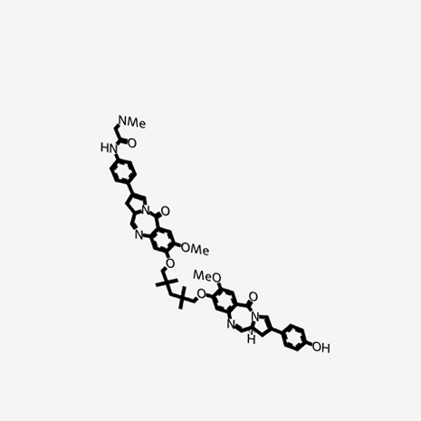 CNCC(=O)Nc1ccc(C2=CN3C(=O)c4cc(OC)c(OCC(C)(C)CC(C)(C)COc5cc6c(cc5OC)C(=O)N5C=C(c7ccc(O)cc7)C[C@H]5C=N6)cc4N=CC3C2)cc1